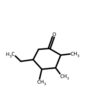 CCC1CC(=O)C(C)C(C)C1C